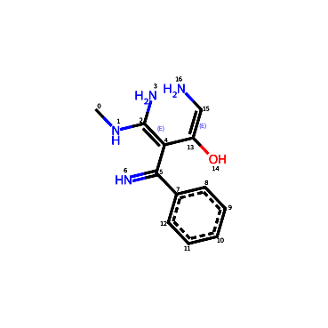 CN/C(N)=C(C(=N)c1ccccc1)/C(O)=C\N